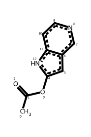 CC(=O)Oc1cc2cnccc2[nH]1